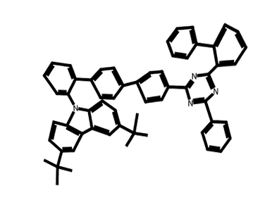 CC(C)(C)c1ccc2c(c1)c1cc(C(C)(C)C)ccc1n2-c1ccccc1-c1ccc(-c2ccc(-c3nc(-c4ccccc4)nc(-c4ccccc4-c4ccccc4)n3)cc2)cc1